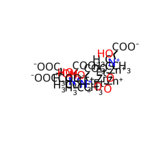 CC[C](=O)[Zn+].CC[C](=O)[Zn+].CC[C](=O)[Zn+].C[N+](C)(C)CC(O)CC(=O)[O-].C[N+](C)(C)CC(O)CC(=O)[O-].C[N+](C)(C)CC(O)CC(=O)[O-].O=C([O-])CC(O)(CC(=O)[O-])C(=O)[O-]